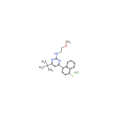 COCCNc1nc(-c2ccc(F)c3ccccc23)cc(C(C)(C)C)n1.Cl